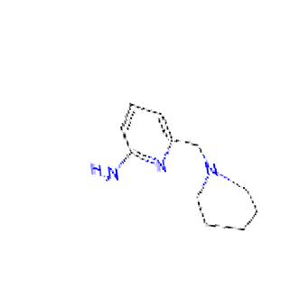 Nc1cccc(CN2CCCCC2)n1